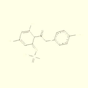 O=C(Cc1ccc(O)cc1)C1C(O)=CC(O)=C/C1=N\P(=O)(O)O